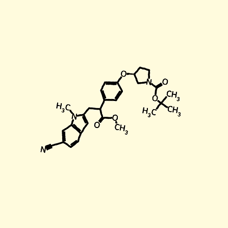 COC(=O)C(Cc1cc2ccc(C#N)cc2n1C)c1ccc(O[C@H]2CCN(C(=O)OC(C)(C)C)C2)cc1